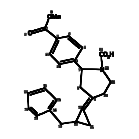 COC(=O)c1ccc(C2CC(=C3CC3Cc3ccccc3)CCN2C(=O)O)cc1